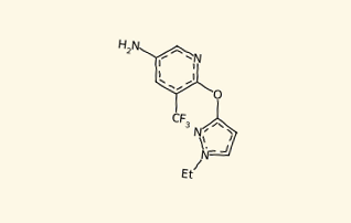 CCn1ccc(Oc2ncc(N)cc2C(F)(F)F)n1